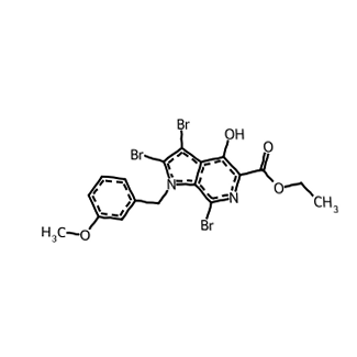 CCOC(=O)c1nc(Br)c2c(c1O)c(Br)c(Br)n2Cc1cccc(OC)c1